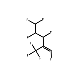 FC=C(C(F)C(F)C(F)F)C(F)(F)F